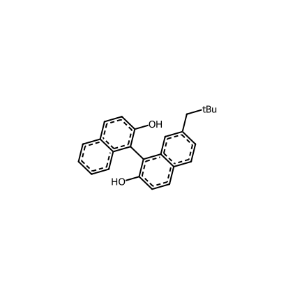 CC(C)(C)Cc1ccc2ccc(O)c(-c3c(O)ccc4ccccc34)c2c1